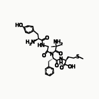 CSCC[C@H](NC(=O)[C@H](Cc1ccccc1)N(C(=O)CNC(=O)[C@@H](N)Cc1ccc(O)cc1)C(=O)C(C)(C)N)C(=O)O